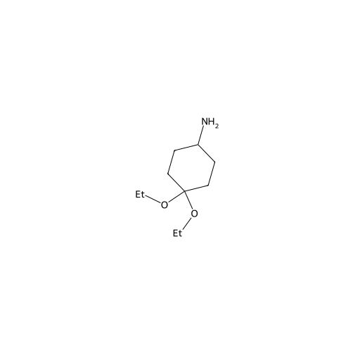 CCOC1(OCC)CCC(N)CC1